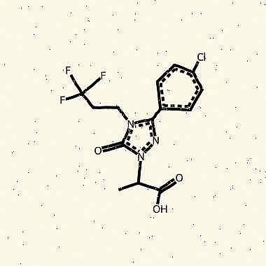 CC(C(=O)O)n1nc(-c2ccc(Cl)cc2)n(CCC(F)(F)F)c1=O